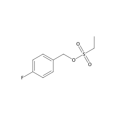 CCS(=O)(=O)OCc1ccc(F)cc1